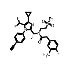 C#Cc1ccc(-n2c([C@@H](C)N(CCS(=O)(=O)CC)C(=O)Cc3ccc(F)c(C(F)(F)F)c3)nc(C3CC3)c2C(F)F)cc1